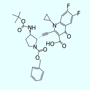 CC(C)(C)OC(=O)N[C@@H]1CCN(C(=O)OCc2ccccc2)[C@H]1C#Cc1c(C(=O)O)c(=O)c2cc(F)c(F)cc2n1C1CC1